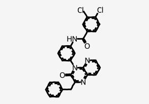 O=C(Nc1cccc(-n2c(=O)c(Cc3ccccc3)nc3cccnc32)c1)c1ccc(Cl)c(Cl)c1